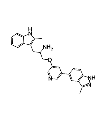 Cc1[nH]c2ccccc2c1CC(N)COc1cncc(-c2ccc3[nH]nc(C)c3c2)c1